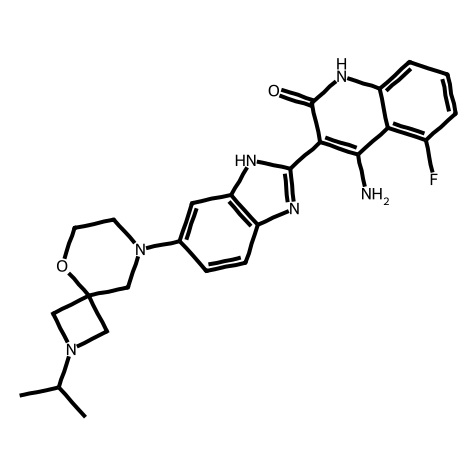 CC(C)N1CC2(CN(c3ccc4nc(-c5c(N)c6c(F)cccc6[nH]c5=O)[nH]c4c3)CCO2)C1